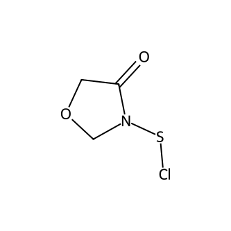 O=C1COCN1SCl